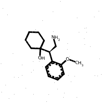 COc1ccccc1[C@H](CN)C1(O)CCCCC1